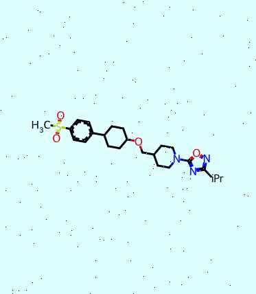 CC(C)c1noc(N2CCC(COC3CCC(c4ccc(S(C)(=O)=O)cc4)CC3)CC2)n1